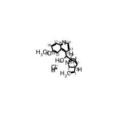 C=C[C@H]1CN2CCC1C[C@@H]2[C@@H](O)c1ccnc2ccc(OC)cc12.[Cl-].[H+]